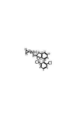 Clc1cccc(Cl)c1-c1cccc2c1OC(CNC1CC1)C2